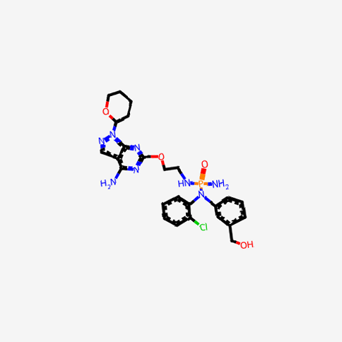 Nc1nc(OCCNP(N)(=O)N(c2cccc(CO)c2)c2ccccc2Cl)nc2c1cnn2C1CCCCO1